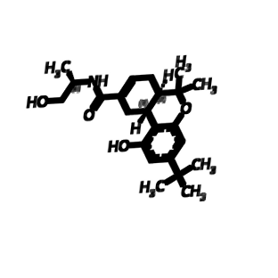 C[C@H](CO)NC(=O)C1=CC[C@@H]2[C@@H](C1)c1c(O)cc(C(C)(C)C)cc1OC2(C)C